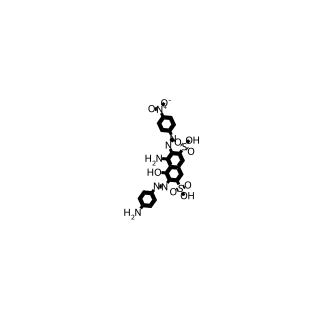 Nc1ccc(N=Nc2c(S(=O)(=O)O)cc3cc(S(=O)(=O)O)c(N=Nc4ccc([N+](=O)[O-])cc4)c(N)c3c2O)cc1